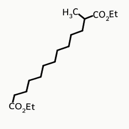 CCOC(=O)CCCCCCCCCCC(C)C(=O)OCC